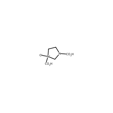 O=C(O)N1CC[N+]([O-])(C(=O)O)C1